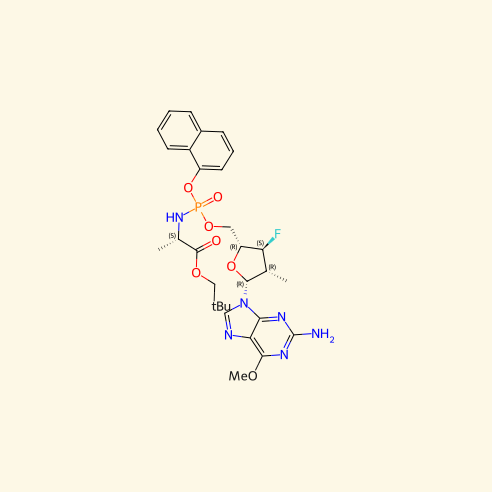 COc1nc(N)nc2c1ncn2[C@@H]1O[C@H](COP(=O)(N[C@@H](C)C(=O)OCC(C)(C)C)Oc2cccc3ccccc23)[C@@H](F)[C@@H]1C